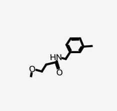 COCCC(=O)NCc1cccc(C)c1